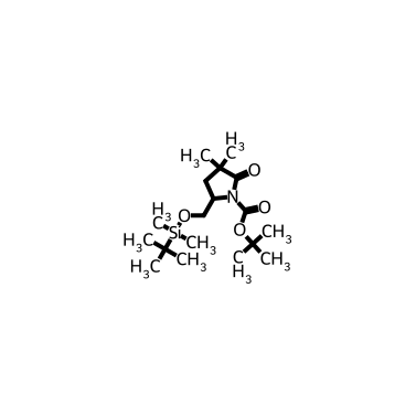 CC(C)(C)OC(=O)N1C(=O)C(C)(C)CC1CO[Si](C)(C)C(C)(C)C